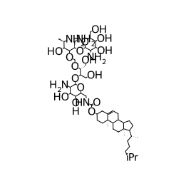 CC(C)CCC[C@@H](C)C1CCC2C3CC=C4CC(OC(=O)NCC5O[C@H](OC(CO)[C@@H](CO)OCOC(C(O)[C@@H](C)N)[C@@H](CN)O[C@H]6OC(CO)[C@@H](O)C(O)C6N)C(N)C(O)[C@@H]5O)CC[C@]4(C)C3CC[C@@]21C